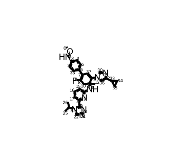 CONc1ccc(C2=C(F)CC(C)(Nc3cccc(-c4nncn4C(C)C)n3)C(n3cnc(C4CC4)c3)=C2)cc1